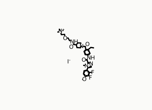 CCc1cc(NC(=O)c2ncc(-c3ccc(OC)c(F)c3F)n2C)ccc1C(=O)N1CCC(C(=O)NCCOCC[N+](C)(C)C)CC1.[I-]